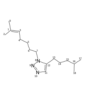 CC(C)=CCCCCn1nncc1CCCC(C)C